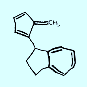 C=C1C=CC=C1C1CCc2ccccc21